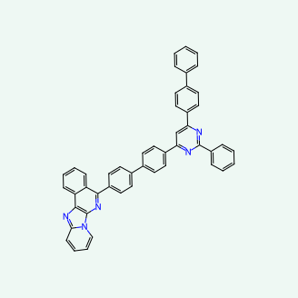 c1ccc(-c2ccc(-c3cc(-c4ccc(-c5ccc(-c6nc7c(nc8ccccn87)c7ccccc67)cc5)cc4)nc(-c4ccccc4)n3)cc2)cc1